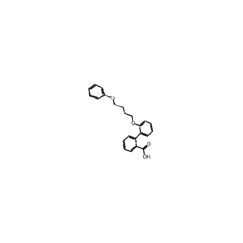 O=C(O)c1ccccc1-c1ccccc1OCCCCOc1ccccc1